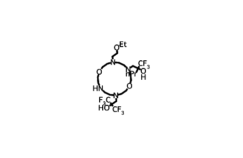 CCCC(O)(CN1CCOCCN(CC(O)(C(F)(F)F)C(F)(F)F)CCNCCOCCN(CCOCC)CC1)C(F)(F)F